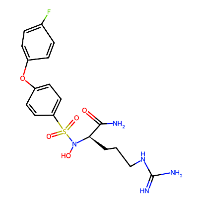 N=C(N)NCCC[C@H](C(N)=O)N(O)S(=O)(=O)c1ccc(Oc2ccc(F)cc2)cc1